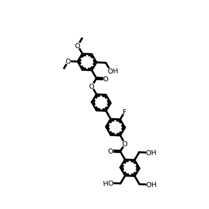 COc1cc(CO)c(C(=O)Oc2ccc(-c3ccc(OC(=O)c4cc(CO)c(CO)cc4CO)cc3F)cc2)cc1OC